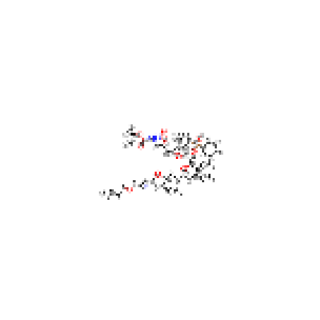 C=CCOC/C=C/[C@H]1CC(=C)[C@H](CCC2CC(C)C(=C)C(C[C@@H]3OC(CC(O)CNC(=O)OC4(CCC)CC4)[C@H](OC)C3CS(=O)(=O)c3ccccc3)O2)O1